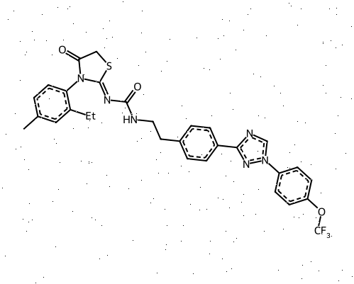 CCc1cc(C)ccc1N1C(=O)CSC1=NC(=O)NCCc1ccc(-c2ncn(-c3ccc(OC(F)(F)F)cc3)n2)cc1